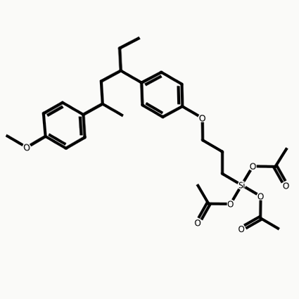 CCC(CC(C)c1ccc(OC)cc1)c1ccc(OCCC[Si](OC(C)=O)(OC(C)=O)OC(C)=O)cc1